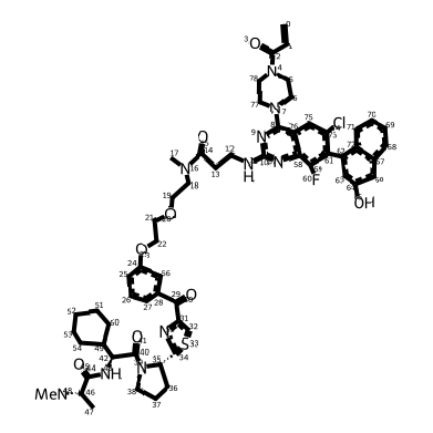 C=CC(=O)N1CCN(c2nc(NCCC(=O)N(C)CCOCCOc3cccc(C(=O)c4csc([C@@H]5CCCN5C(=O)[C@@H](NC(=O)[C@H](C)NC)C5CCCCC5)n4)c3)nc3c(F)c(-c4cc(O)cc5ccccc45)c(Cl)cc23)CC1